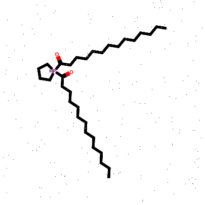 CCCCCCCCCCCCCC(=O)[PH]1(C(=O)CCCCCCCCCCCCC)CCCC1